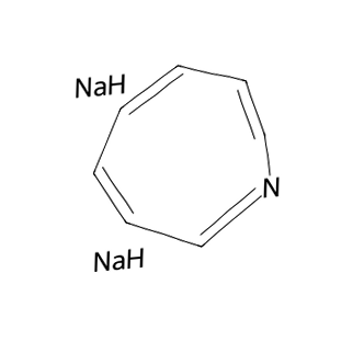 C1=CC=CN=CC=C1.[NaH].[NaH]